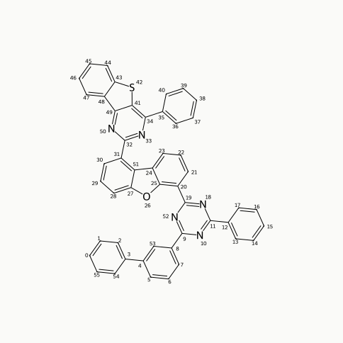 c1ccc(-c2cccc(-c3nc(-c4ccccc4)nc(-c4cccc5c4oc4cccc(-c6nc(-c7ccccc7)c7sc8ccccc8c7n6)c45)n3)c2)cc1